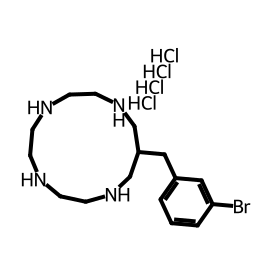 Brc1cccc(CC2CNCCNCCNCCNC2)c1.Cl.Cl.Cl.Cl